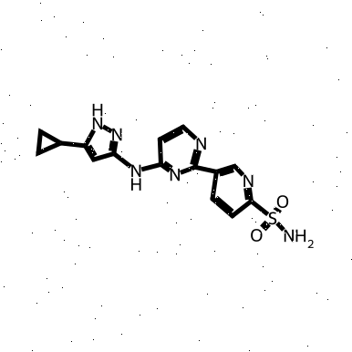 NS(=O)(=O)c1ccc(-c2nccc(Nc3cc(C4CC4)[nH]n3)n2)cn1